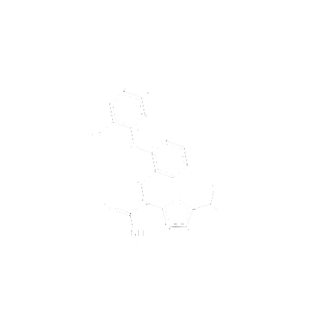 CC(C)c1cnc(N(Cc2ccccc2Oc2ccccc2Cl)C(N)=O)s1